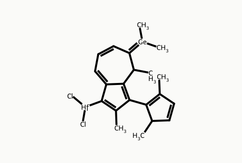 CC1=C(C2=C3C(=CC=C[C](=[Ge]([CH3])[CH3])C3C)[C]([Hf]([Cl])[Cl])=C2C)C(C)C=C1